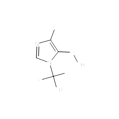 COc1c(O)ncn1C(C)(C)C